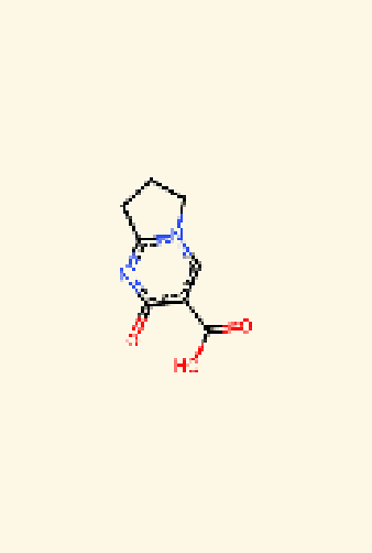 O=C(O)c1cn2c(nc1=O)CCC2